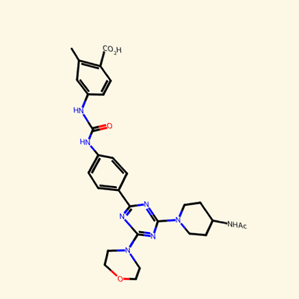 CC(=O)NC1CCN(c2nc(-c3ccc(NC(=O)Nc4ccc(C(=O)O)c(C)c4)cc3)nc(N3CCOCC3)n2)CC1